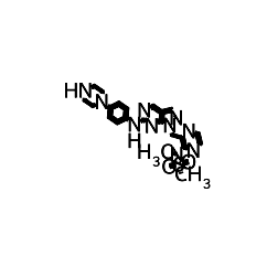 CN(c1nccnc1Cn1ncc2cnc(Nc3ccc(N4CCNCC4)cc3)nc21)S(C)(=O)=O